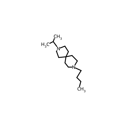 CCCCN1CCC2(CC1)CCN(C(C)C)CC2